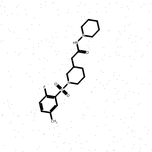 Cc1ccc(F)c(S(=O)(=O)N2CCCC(CC(=O)NN3CCCCC3)C2)c1